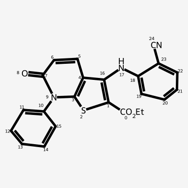 CCOC(=O)c1sc2c(ccc(=O)n2-c2ccccc2)c1Nc1ccccc1C#N